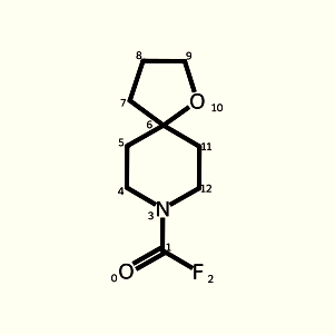 O=C(F)N1CCC2(CCCO2)CC1